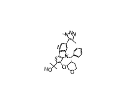 Cc1nnn(C)c1-c1cnc2c3sc(C(C)(C)O)c(Cl)c3n([C@H](c3ccccc3)C3CCOCC3)c2c1